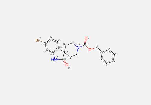 O=C(OCc1ccccc1)N1CCC2(CC1)C(=O)Nc1cc(Br)ccc12